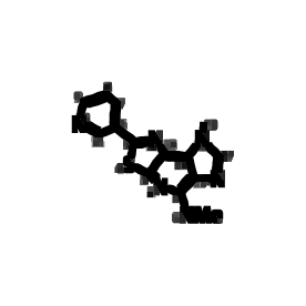 CNc1nc2sc(-c3cccnc3)nc2c2c1ncn2C